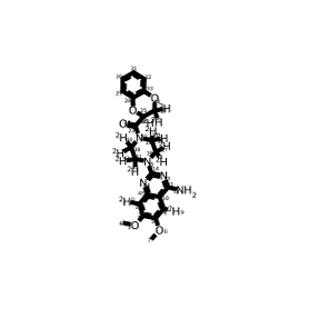 [2H]c1c(OC)c(OC)c([2H])c2c(N)nc(N3C([2H])([2H])C([2H])([2H])N(C(=O)C4([2H])Oc5ccccc5OC4([2H])[2H])C([2H])([2H])C3([2H])[2H])nc12